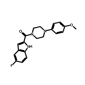 COc1ccc(N2CCN(C(=O)c3cc4cc(F)ccc4[nH]3)CC2)cc1